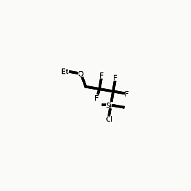 CCOCC(F)(F)C(F)(F)[Si](C)(C)Cl